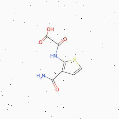 NC(=O)c1ccsc1NC(=O)C(=O)O